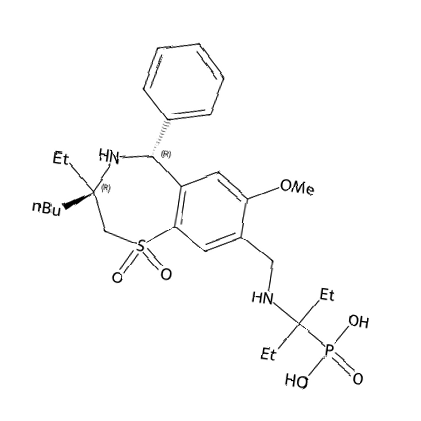 CCCC[C@]1(CC)CS(=O)(=O)c2cc(CNC(CC)(CC)P(=O)(O)O)c(OC)cc2[C@@H](c2ccccc2)N1